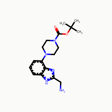 CC(C)(C)OC(=O)N1CCN(c2cccc3[nH]c(CN)nc23)CC1